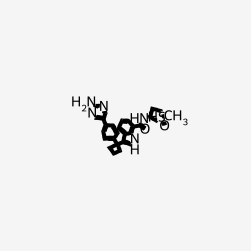 C[SH]1(=O)CCC(NC(=O)c2cccc3c(C4(c5ccc(-c6cnc(N)nc6)cc5)CCC4)c[nH]c23)C1